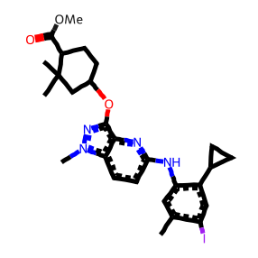 COC(=O)C1CCC(Oc2nn(C)c3ccc(Nc4cc(C)c(I)cc4C4CC4)nc23)CC1(C)C